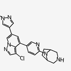 Cn1cc(-c2cc(-c3ccc(N4C5CCC4CNC5)nc3)c3c(Cl)cnn3c2)cn1